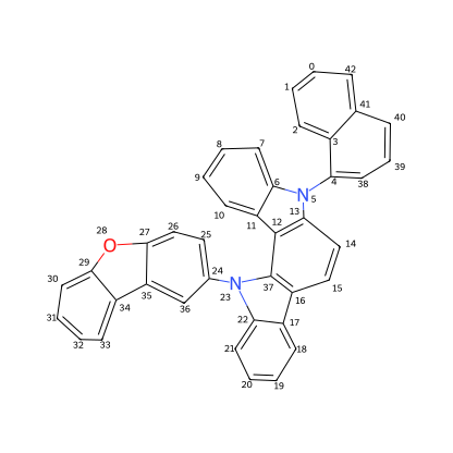 c1ccc2c(-n3c4ccccc4c4c3ccc3c5ccccc5n(-c5ccc6oc7ccccc7c6c5)c34)cccc2c1